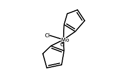 [Cl][Mo]12([Cl])([C]3=[C]1CC=C3)[C]1=[C]2CC=C1